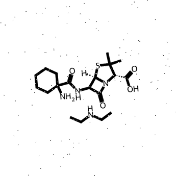 CC1(C)S[C@@H]2C(NC(=O)C3(N)CCCCC3)C(=O)N2[C@H]1C(=O)O.CCNCC